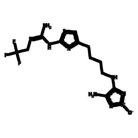 N/C(=N/CC(F)(F)F)Nc1nc(CCCCNc2n[s+]([O-])nc2N)cs1